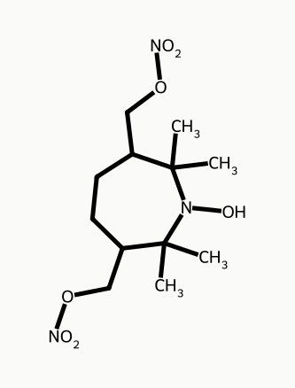 CC1(C)C(CO[N+](=O)[O-])CCC(CO[N+](=O)[O-])C(C)(C)N1O